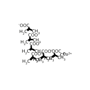 C=C(C)C(=O)[O-].C=C(C)C(=O)[O-].C=C(C)C(=O)[O-].C=C(C)C(=O)[O-].C=C(C)C(=O)[O-].C=C(C)C(=O)[O-].[C+4].[Cu+2]